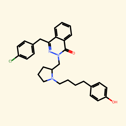 O=c1c2ccccc2c(Cc2ccc(Cl)cc2)nn1CC1CCCN1CCCCc1ccc(O)cc1